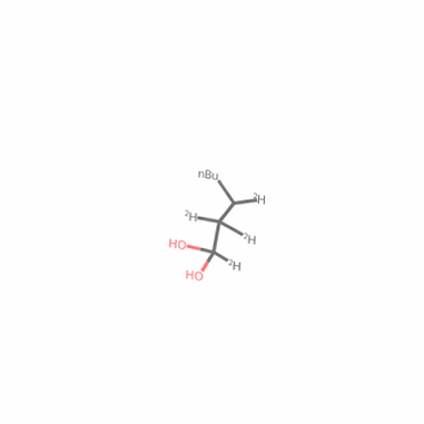 [2H]C(CCCC)C([2H])([2H])C([2H])(O)O